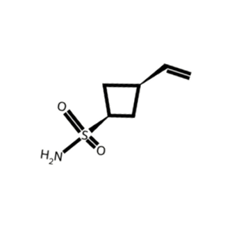 C=C[C@H]1C[C@@H](S(N)(=O)=O)C1